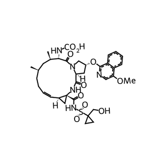 COc1cnc(O[C@@H]2C[C@H]3C(=O)N[C@]4(C(=O)NS(=O)(=O)C5(CO)CC5)C[C@H]4C=CCC[C@@H](C)C[C@@H](C)[C@H](NC(=O)O)C(=O)N3C2)c2ccccc12